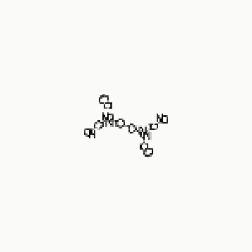 c1ccc(-c2ccc(-c3nc(-c4ccc(-c5ccc(-c6cc(-c7ccc8ccccc8c7)nc(-c7ccc(-c8ccccn8)cc7)n6)cc5)cc4)cc(-c4ccc5ccccc5c4)n3)cc2)nc1